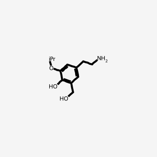 CC(C)Oc1cc(CCN)cc(CO)c1O